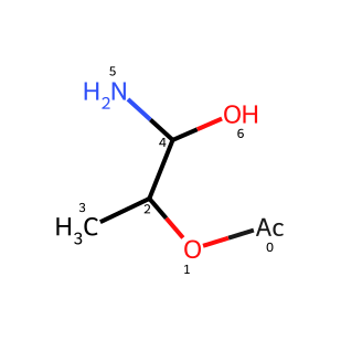 CC(=O)OC(C)C(N)O